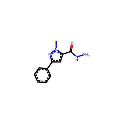 Cn1nc(-c2ccccc2)cc1C(=O)NN